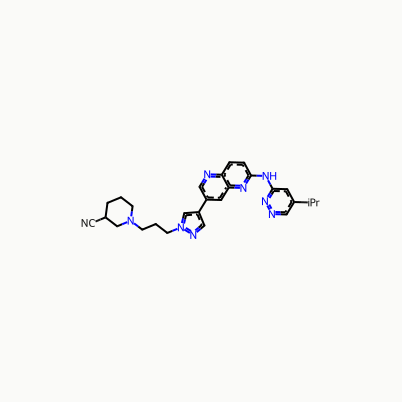 CC(C)c1cnnc(Nc2ccc3ncc(-c4cnn(CCCN5CCCC(C#N)C5)c4)cc3n2)c1